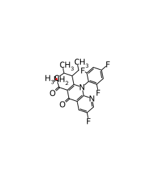 CCC(c1c(C(N)=O)c(=O)c2cc(F)cnc2n1-c1c(F)cc(F)cc1F)C(C)C